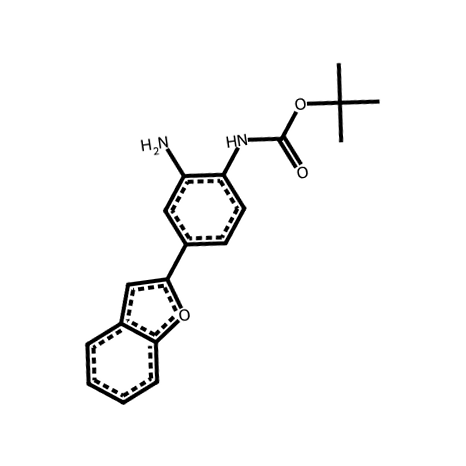 CC(C)(C)OC(=O)Nc1ccc(-c2cc3ccccc3o2)cc1N